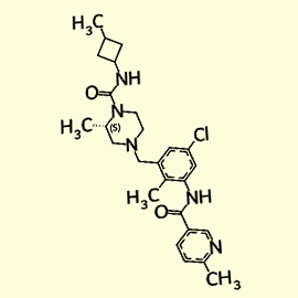 Cc1ccc(C(=O)Nc2cc(Cl)cc(CN3CCN(C(=O)NC4CC(C)C4)[C@@H](C)C3)c2C)cn1